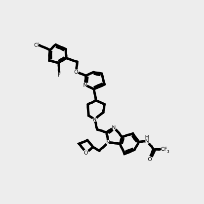 O=C(Nc1ccc2c(c1)nc(CN1CCC(c3cccc(OCc4ccc(Cl)cc4F)n3)CC1)n2CC1CCO1)C(F)(F)F